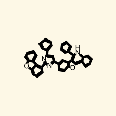 C1=CC2=c3oc4ccc(-c5cc(-c6ccccc6)nc(-c6cccc7oc8ccccc8c67)n5)cc4c3=C(c3ccccc3)NC2C=C1